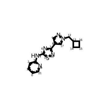 c1ccc(Nc2nc(-c3cnn(CC4CCC4)c3)ns2)nc1